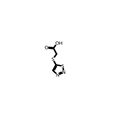 O=C(O)CSc1cnns1